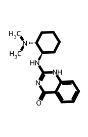 CN(C)[C@@H]1CCCC[C@H]1Nc1nc(=O)c2ccccc2[nH]1